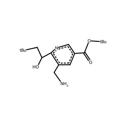 CC(C)(C)CC(O)c1ncc(C(=O)OC(C)(C)C)cc1CN